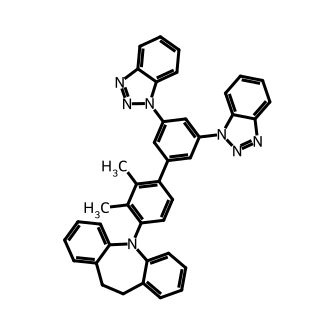 Cc1c(-c2cc(-n3nnc4ccccc43)cc(-n3nnc4ccccc43)c2)ccc(N2c3ccccc3CCc3ccccc32)c1C